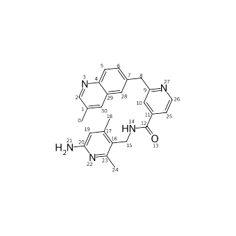 Cc1cnc2ccc(Cc3cc(C(=O)NCc4c(C)cc(N)nc4C)ccn3)cc2c1